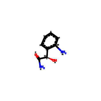 NC(=O)[C@@H](O)c1ccccc1N